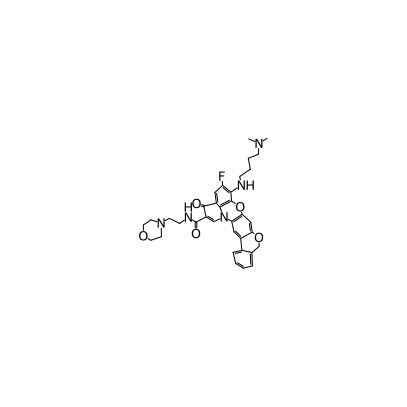 CN(C)CCCCNc1c(F)cc2c(=O)c(C(=O)NCCN3CCOCC3)cn3c2c1Oc1cc2c(cc1-3)-c1ccccc1CO2